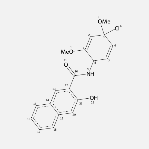 COC1=CC(Cl)(OC)C=CC1NC(=O)c1cc2ccccc2cc1O